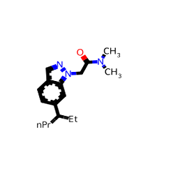 CCCC(CC)c1ccc2cnn(CC(=O)N(C)C)c2c1